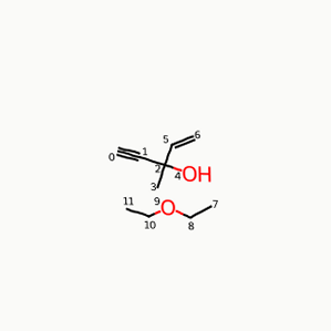 C#CC(C)(O)C=C.CCOCC